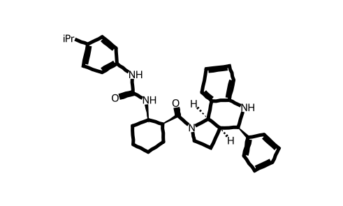 CC(C)c1ccc(NC(=O)N[C@@H]2CCCC[C@@H]2C(=O)N2CC[C@@H]3[C@H](c4ccccc4)Nc4ccccc4[C@@H]32)cc1